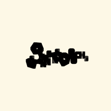 CS(=O)(=O)c1ccc2nc(Sc3nnc(-c4cccs4)n3-c3ccccc3)sc2c1